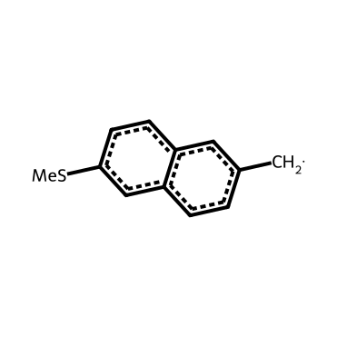 [CH2]c1ccc2cc(SC)ccc2c1